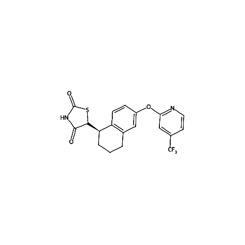 O=C1NC(=O)C([C@@H]2CCCc3cc(Oc4cc(C(F)(F)F)ccn4)ccc32)S1